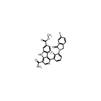 COC(=O)c1ccc2c(c1)[nH]c1c(C(N)=O)cnc(-c3cccc(N4Cc5ccc(F)cc5C4=O)c3C)c12